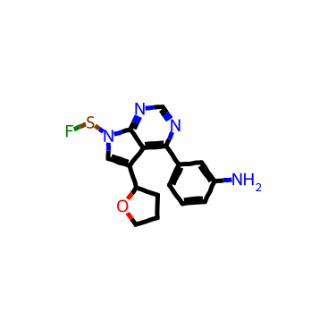 Nc1cccc(-c2ncnc3c2c(C2CCCO2)cn3SF)c1